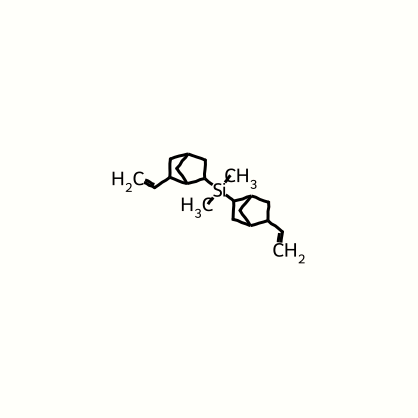 C=CC1CC2CC1CC2[Si](C)(C)C1CC2CC(C=C)C1C2